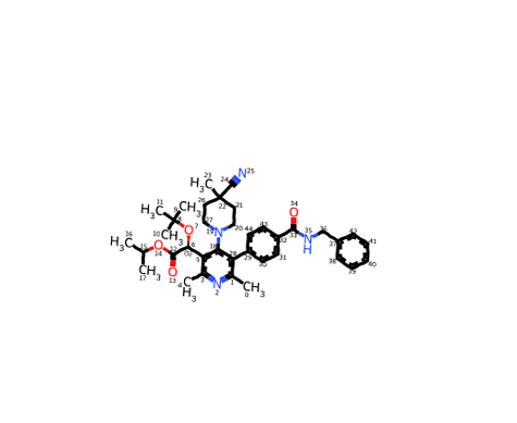 Cc1nc(C)c([C@H](OC(C)(C)C)C(=O)OC(C)C)c(N2CCC(C)(C#N)CC2)c1-c1ccc(C(=O)NCc2ccccc2)cc1